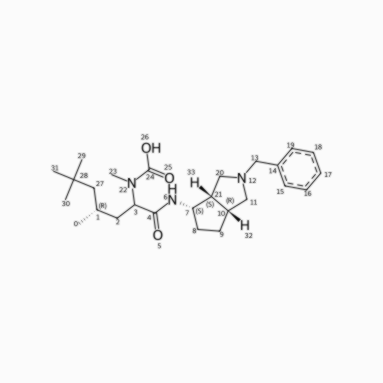 C[C@@H](CC(C(=O)N[C@H]1CC[C@H]2CN(Cc3ccccc3)C[C@H]21)N(C)C(=O)O)CC(C)(C)C